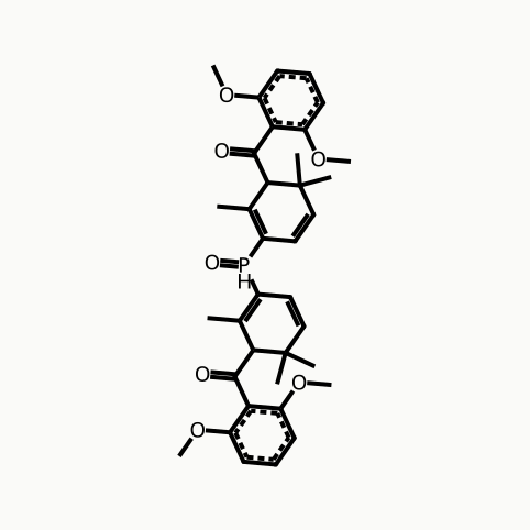 COc1cccc(OC)c1C(=O)C1C(C)=C([PH](=O)C2=C(C)C(C(=O)c3c(OC)cccc3OC)C(C)(C)C=C2)C=CC1(C)C